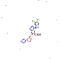 COc1cc2c(Nc3ccc(Cl)c(Cl)c3)ncnc2cc1OCC1CN(c2ccncc2)CCO1